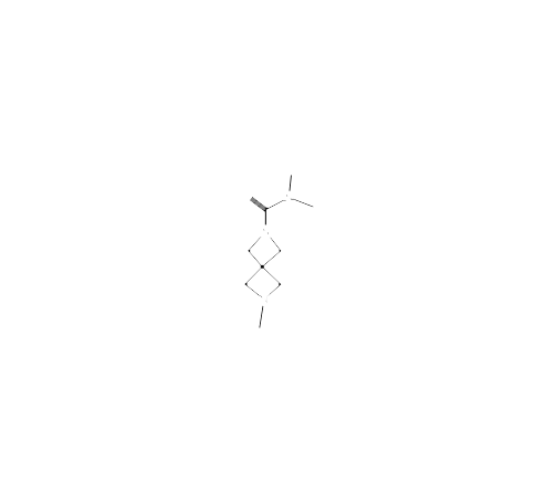 CN1CC2(C1)CN(C(=O)N(C)C)C2